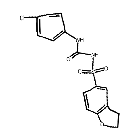 O=C(Nc1ccc(Cl)cc1)NS(=O)(=O)c1ccc2c(c1)CCO2